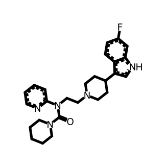 O=C(N1CCCCC1)N(CCN1CCC(c2c[nH]c3cc(F)ccc23)CC1)c1ccccn1